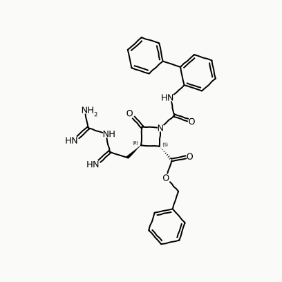 N=C(N)NC(=N)C[C@H]1C(=O)N(C(=O)Nc2ccccc2-c2ccccc2)[C@@H]1C(=O)OCc1ccccc1